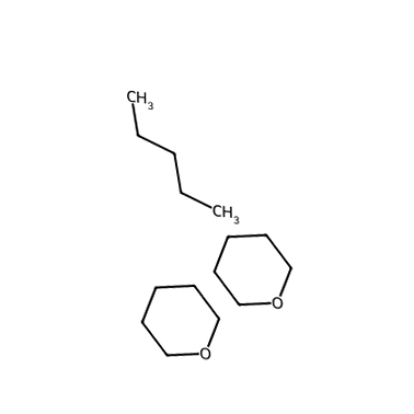 C1CCOCC1.C1CCOCC1.CCCCC